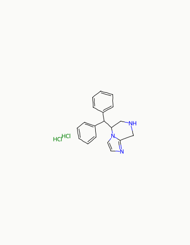 Cl.Cl.c1ccc(C(c2ccccc2)C2CNCc3nccn32)cc1